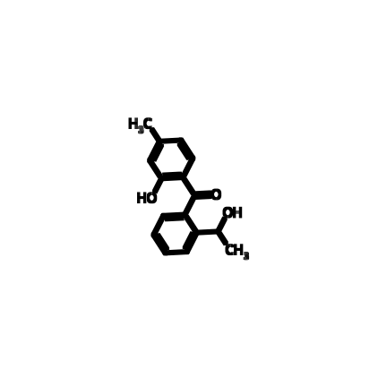 Cc1ccc(C(=O)c2ccccc2C(C)O)c(O)c1